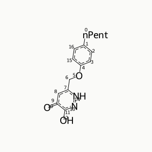 CCCCCc1ccc(OCc2cc(=O)c(O)n[nH]2)cc1